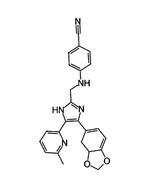 Cc1cccc(-c2[nH]c(CNc3ccc(C#N)cc3)nc2C2=CC=C3OCOC3C2)n1